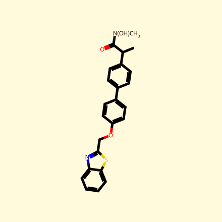 CC(C(=O)N(C)O)c1ccc(-c2ccc(OCc3nc4ccccc4s3)cc2)cc1